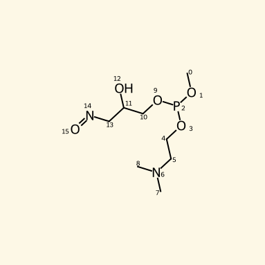 COP(OCCN(C)C)OCC(O)CN=O